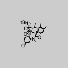 Cc1ccc(F)c(C(C)[C@@H](C(=O)OC(C)(C)C)N2CC(=O)N(C)c3cc(Cl)ccc3S2(=O)=O)c1C